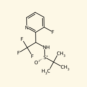 CC(C)(C)[S@+]([O-])NC(c1ncccc1F)C(F)(F)F